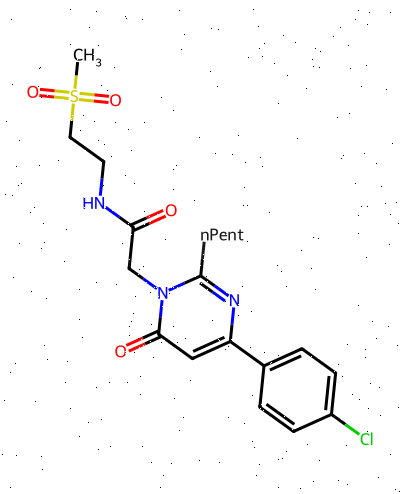 CCCCCc1nc(-c2ccc(Cl)cc2)cc(=O)n1CC(=O)NCCS(C)(=O)=O